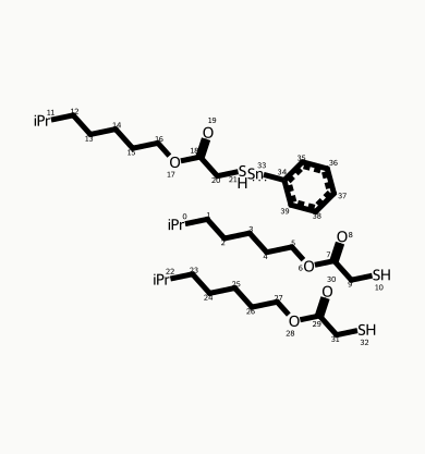 CC(C)CCCCCOC(=O)CS.CC(C)CCCCCOC(=O)CS.CC(C)CCCCCOC(=O)CS.[Sn][c]1ccccc1